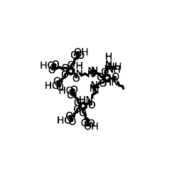 CCCCNC(=O)c1cc(OCc2cn(CCCNC(=O)c3cc(OCCCS(=O)(=O)O)c(OCCCS(=O)(=O)O)c(OCCCS(=O)(=O)O)c3)nn2)c(OCc2cn(CCCNC(=O)c3cc(OCCCS(=O)(=O)O)c(OCCCS(=O)(=O)O)c(OCCCS(=O)(=O)O)c3)nn2)c(OC2=CNNN2)c1